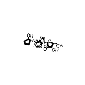 OC[C@H]1O[C@@H](n2cnc3c(N[C@@H]4CCC[C@H]4O)ncnc32)[C@H](O)[C@@H]1O